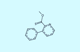 COC(=S)c1ncccc1-c1ccccc1